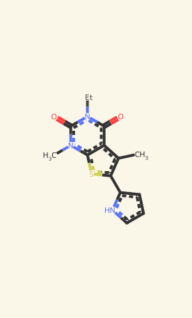 CCn1c(=O)c2c(C)c(-c3ccc[nH]3)sc2n(C)c1=O